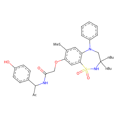 CCCCC1(CCCC)CN(c2ccccc2)c2cc(SC)c(OCC(=O)NC(C(C)=O)c3ccc(O)cc3)cc2S(=O)(=O)N1